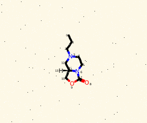 CCCN1CCN2C(=O)OC[C@@H]2C1